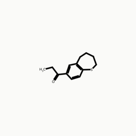 CCC(=O)c1ccc2c(c1)CCCCS2